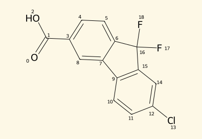 O=C(O)c1ccc2c(c1)-c1ccc(Cl)cc1C2(F)F